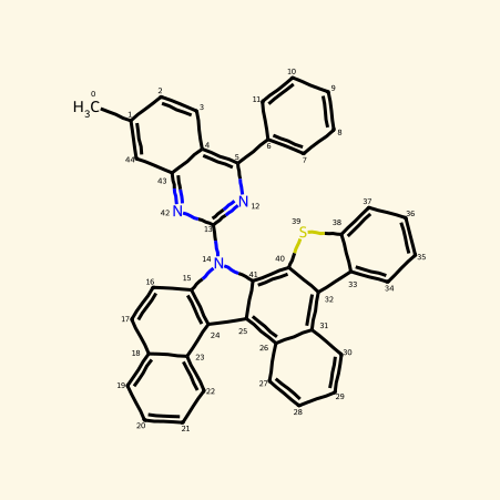 Cc1ccc2c(-c3ccccc3)nc(-n3c4ccc5ccccc5c4c4c5ccccc5c5c6ccccc6sc5c43)nc2c1